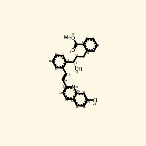 COC(=O)c1ccccc1CC[C@H](O)c1ccccc1C=Cc1ccc2ccc(Cl)cc2n1